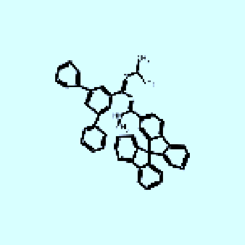 CN/C(=N\C(=N/C(C)C)c1cc(-c2ccccc2)cc(-c2ccccc2)c1)c1ccc2c(c1)C1(c3ccccc3-c3ccccc31)c1ccccc1-2